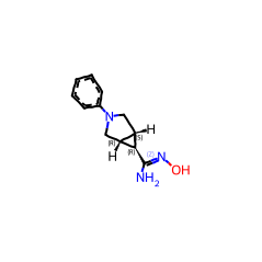 N/C(=N\O)[C@H]1[C@@H]2CN(c3ccccc3)C[C@@H]21